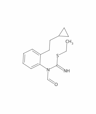 CCSC(=N)N(C=O)c1ccccc1CCC1CC1